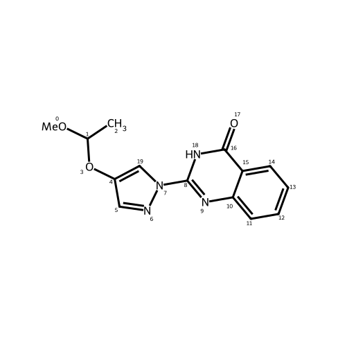 COC(C)Oc1cnn(-c2nc3ccccc3c(=O)[nH]2)c1